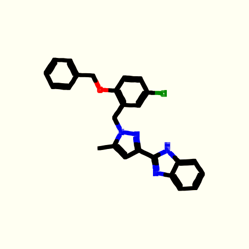 Cc1cc(-c2nc3ccccc3[nH]2)nn1Cc1cc(Cl)ccc1OCc1ccccc1